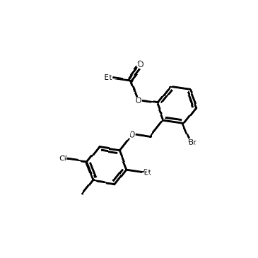 CCC(=O)Oc1cccc(Br)c1COc1cc(Cl)c(C)cc1CC